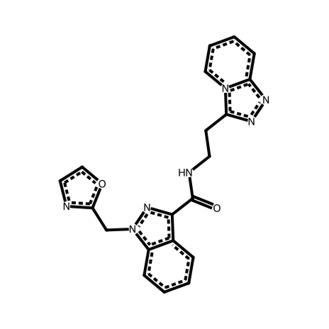 O=C(NCCc1nnc2ccccn12)c1nn(Cc2ncco2)c2ccccc12